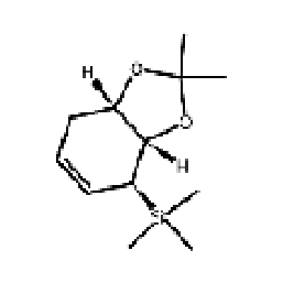 CC1(C)O[C@H]2[C@H](CC=C[C@@H]2[Si](C)(C)C)O1